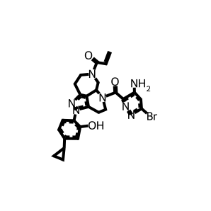 C=CC(=O)N1CCc2nn(-c3ccc(C4CC4)cc3O)c3c2C(C1)N(C(=O)c1nnc(Br)cc1N)CC3